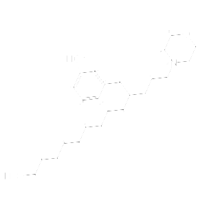 CCCCCCCCCCC(CCCN1CCOCC1)Cc1ccccc1.Cl